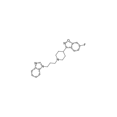 Fc1ccc2c(C3CCN(CCCn4cnc5ccccc54)CC3)noc2c1